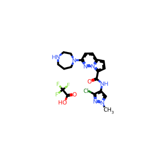 Cn1cc(NC(=O)c2ccc3ccc(N4CCCNCC4)nn23)c(Cl)n1.O=C(O)C(F)(F)F